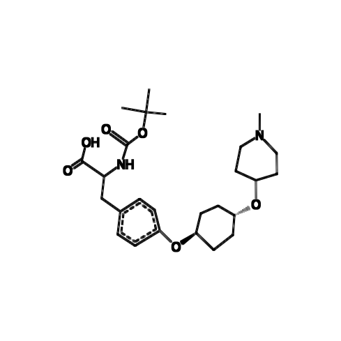 CN1CCC(O[C@H]2CC[C@H](Oc3ccc(CC(NC(=O)OC(C)(C)C)C(=O)O)cc3)CC2)CC1